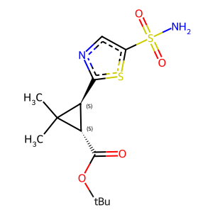 CC(C)(C)OC(=O)[C@H]1[C@H](c2ncc(S(N)(=O)=O)s2)C1(C)C